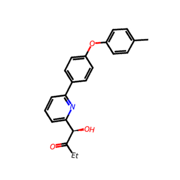 CCC(=O)[C@H](O)c1cccc(-c2ccc(Oc3ccc(C)cc3)cc2)n1